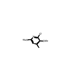 COc1c(C)cc(SC)nc1Cl